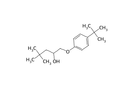 CC(C)(C)CC(O)COc1ccc(C(C)(C)C)cc1